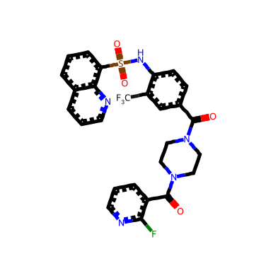 O=C(c1ccc(NS(=O)(=O)c2cccc3cccnc23)c(C(F)(F)F)c1)N1CCN(C(=O)c2cccnc2F)CC1